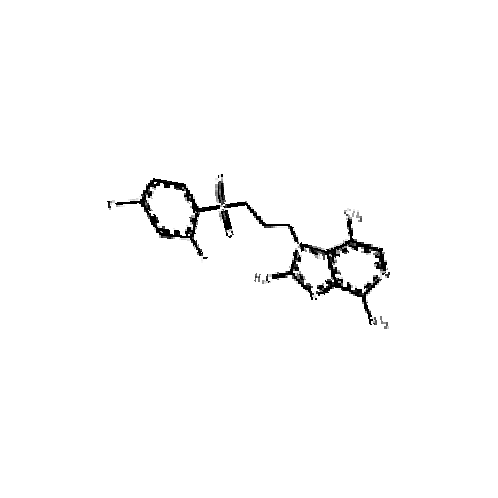 Cc1cnc(N)c2nc(C)n(CCCS(=O)(=O)c3ccc(F)cc3F)c12